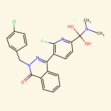 CN(C)C(O)(O)c1ccc(-c2nn(Cc3ccc(Cl)cc3)c(=O)c3ccccc23)c(F)n1